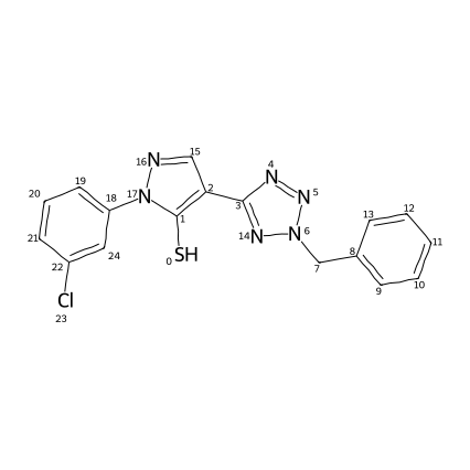 Sc1c(-c2nnn(Cc3ccccc3)n2)cnn1-c1cccc(Cl)c1